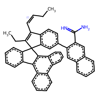 CC/C=C\C1=C(CC)C2(c3cc(-c4cc5ccccc5cc4C(=N)N)ccc31)c1ccccc1-c1c2c2ccccc2c2ccccc12